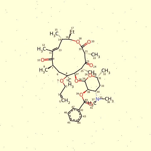 C=CCO[C@@]1(C)C[C@@H](C)C(=O)/C(C)=C/[C@H](C)[C@@H](CC)OC(=O)[C@H](C)C(=O)[C@H](C)[C@H]1OC1O[C@H](C)C[C@H](N(C)C)[C@H]1OC(=O)c1ccccc1